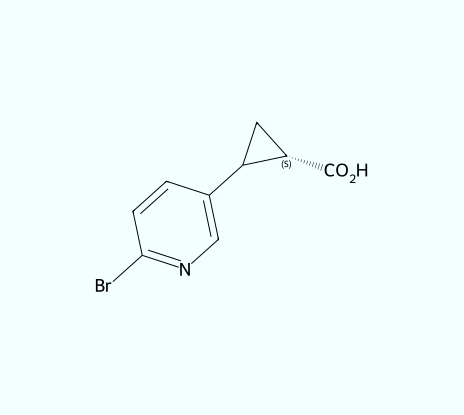 O=C(O)[C@H]1CC1c1ccc(Br)nc1